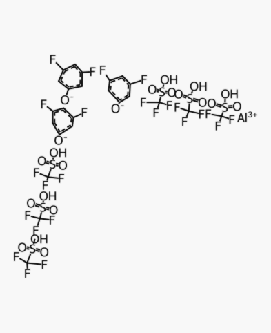 O=S(=O)(O)C(F)(F)F.O=S(=O)(O)C(F)(F)F.O=S(=O)(O)C(F)(F)F.O=S(=O)(O)C(F)(F)F.O=S(=O)(O)C(F)(F)F.O=S(=O)(O)C(F)(F)F.[Al+3].[O-]c1cc(F)cc(F)c1.[O-]c1cc(F)cc(F)c1.[O-]c1cc(F)cc(F)c1